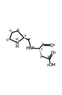 O=C[C@H](CC(=O)O)NC[C@@H]1CCCN1